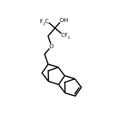 OC(COCC1CC2CC1C1C3C=CC(C3)C21)(C(F)(F)F)C(F)(F)F